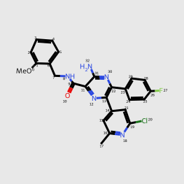 COc1ccccc1CNC(=O)c1nc(-c2cc(C)nc(Cl)c2)c(-c2ccc(F)cc2)nc1N